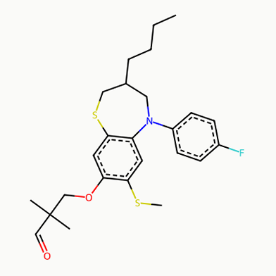 CCCCC1CSc2cc(OCC(C)(C)C=O)c(SC)cc2N(c2ccc(F)cc2)C1